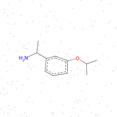 CC(C)Oc1cccc(C(C)N)c1